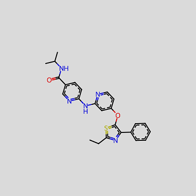 CCc1nc(-c2ccccc2)c(Oc2ccnc(Nc3ccc(C(=O)NC(C)C)cn3)c2)s1